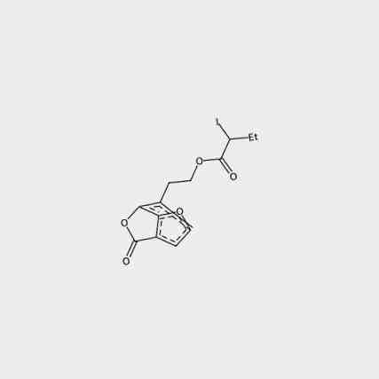 CCC(I)C(=O)OCCc1c2c3oc1cc3C(=O)O2